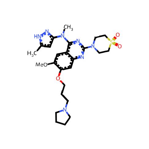 COc1cc2c(N(C)c3cc(C)[nH]n3)nc(N3CCS(=O)(=O)CC3)nc2cc1OCCCN1CCCC1